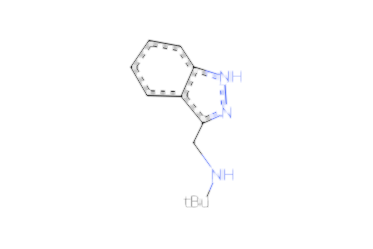 CC(C)(C)NCc1n[nH]c2ccccc12